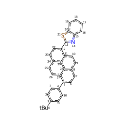 CC(C)(C)c1ccc(-c2ccc3ccc4c(-c5nc6ccccc6s5)ccc5ccc2c3c54)cc1